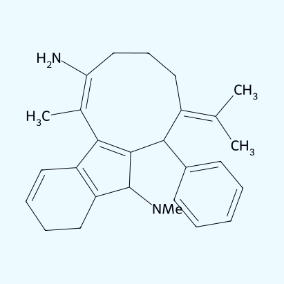 CNC1C2=C(C=CCC2)C2=C1C(c1ccccc1)C(=C(C)C)CCC/C(N)=C\2C